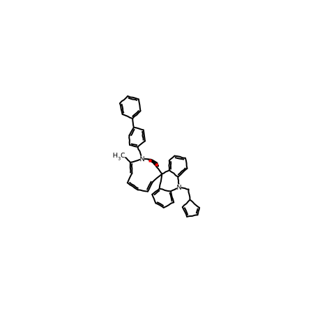 C\C1=C/C=C\C=C\C2(c3ccccc3N(CC3C=CC=C3)c3ccccc32)c2ccccc2N1c1ccc(-c2ccccc2)cc1